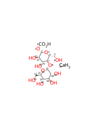 O=C(O)O[C@@H]1O[C@H](CO)[C@@H](O[C@H]2O[C@H](CO)[C@@H](O)[C@H](O)[C@H]2O)[C@H](O)[C@H]1O.[CaH2]